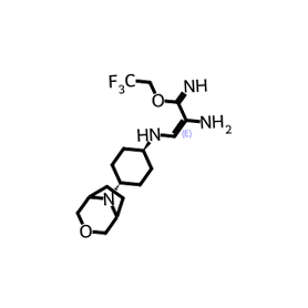 N=C(OCC(F)(F)F)/C(N)=C\N[C@H]1CC[C@H](N2C3CCC2COC3)CC1